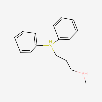 CBCCC[SH](c1ccccc1)c1ccccc1